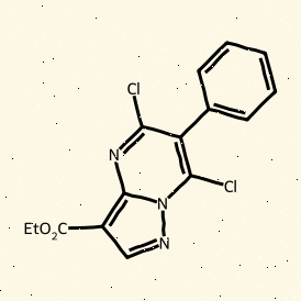 CCOC(=O)c1cnn2c(Cl)c(-c3ccccc3)c(Cl)nc12